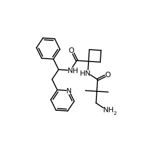 CC(C)(CN)C(=O)NC1(C(=O)NC(Cc2ccccn2)c2ccccc2)CCC1